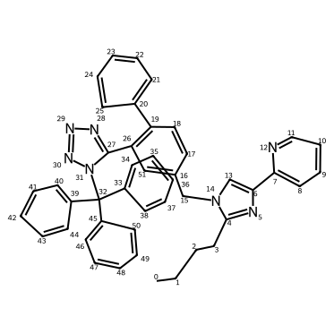 CCCCc1nc(-c2ccccn2)cn1Cc1ccc(-c2ccccc2)c(-c2nnnn2C(c2ccccc2)(c2ccccc2)c2ccccc2)c1